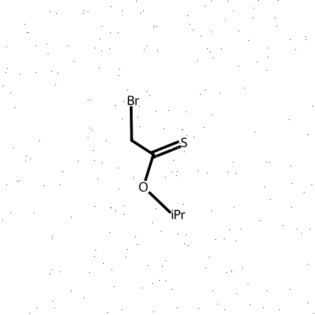 CC(C)OC(=S)CBr